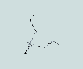 CCC/C=C\CCCC/C=C\CCCCCC1(CCCCC/C=C\CCCC/C=C\CCC)OCC(CCN(C)C)O1